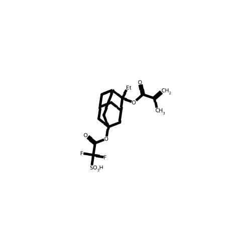 C=C(C)C(=O)OC1(CC)C2CC3CC1CC(OC(=O)C(F)(F)S(=O)(=O)O)(C3)C2